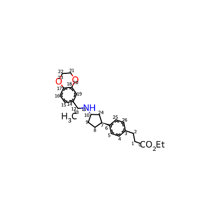 CCOC(=O)CCc1ccc([C@H]2CC[C@H](N[C@H](C)c3ccc4c(c3)OCCO4)C2)cc1